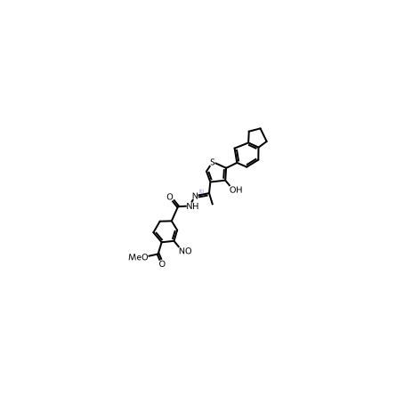 COC(=O)C1=CCC(C(=O)N/N=C(\C)c2csc(-c3ccc4c(c3)CCC4)c2O)C=C1N=O